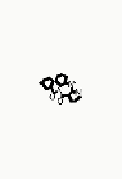 CN1c2ccccc2N(C(=O)c2ccccc2)C(=O)c2cccnc21